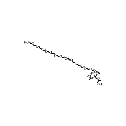 C=CC(=O)O.CC(O)COC(C)COC(C)CO.OCCOCCOCCOCCOCCOCCOCCOCCOCCOCCOCCOCCOCCOCCO